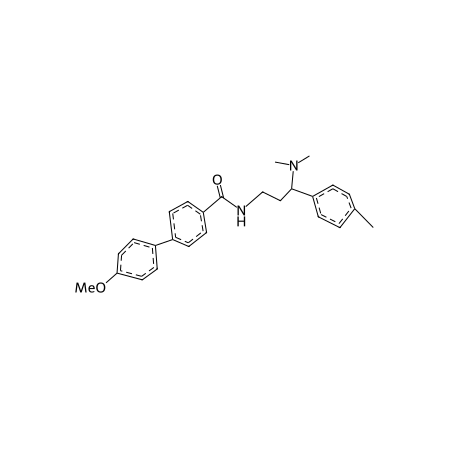 COc1ccc(-c2ccc(C(=O)NCCC(c3ccc(C)cc3)N(C)C)cc2)cc1